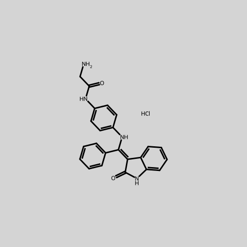 Cl.NCC(=O)Nc1ccc(NC(=C2C(=O)Nc3ccccc32)c2ccccc2)cc1